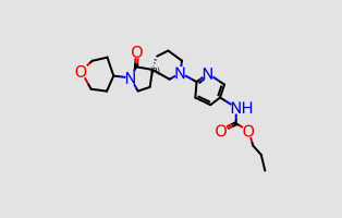 CCCOC(=O)Nc1ccc(N2CCC[C@@]3(CCN(C4CCOCC4)C3=O)C2)nc1